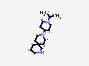 CC(C)N1CCC(N2CCC3(CCCNC3)CC2)CC1